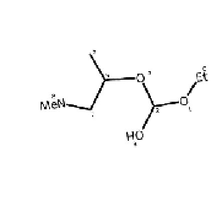 CCOC(O)OC(C)CNC